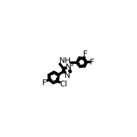 NCc1c(-c2ccc(F)cc2Cl)ncn1Cc1ccc(F)c(F)c1